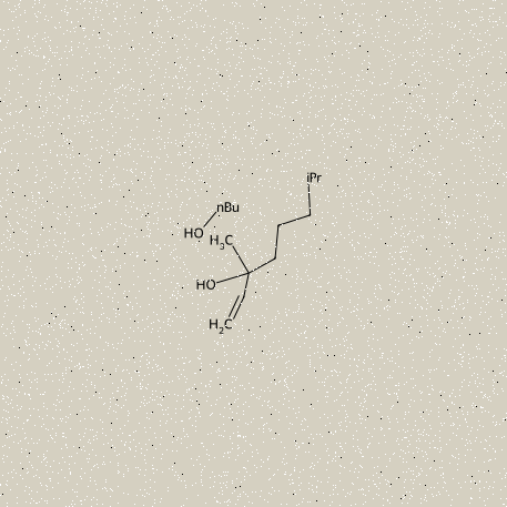 C=CC(C)(O)CCCC(C)C.CCCCO